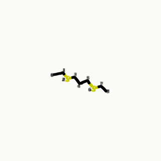 CCSC[CH]CSCC